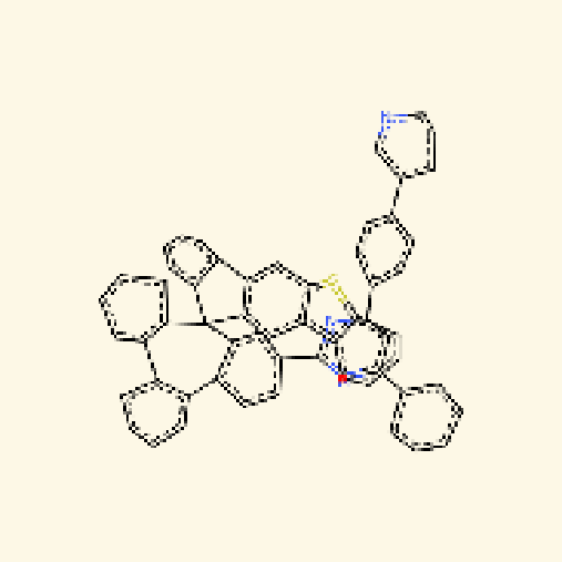 c1ccc(-c2cc(-c3ccc(-c4cccnc4)cc3)nc(-c3ccc4c(c3)C3(c5ccccc5-c5ccccc5-4)c4ccccc4-c4cc5sc6ccccc6c5cc43)n2)cc1